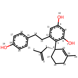 C=C(C)C[C@]1(c2c(O)cc(O)cc2CCc2ccc(O)cc2)C=C(C)CCC1